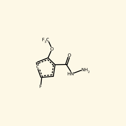 NNC(=O)c1cc(F)ccc1OC(F)(F)F